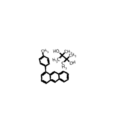 CC(C)(O)C(C)(C)O.Cc1ccc(-c2cccc3cc4ccccc4cc23)cc1